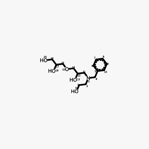 OCCN(Cc1ccccc1)CC(O)COCC(O)CO